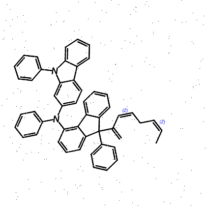 C=C(/C=C\C/C=C\C)C1(c2ccccc2)c2ccccc2-c2c(N(c3ccccc3)c3ccc4c5ccccc5n(-c5ccccc5)c4c3)cccc21